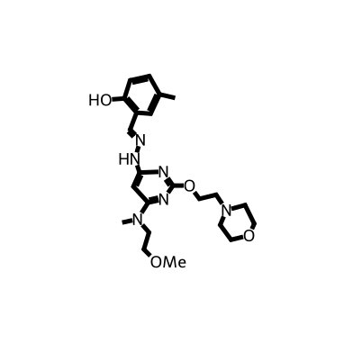 COCCN(C)c1cc(N/N=C/c2cc(C)ccc2O)nc(OCCN2CCOCC2)n1